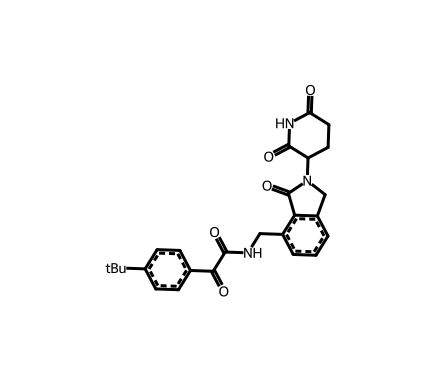 CC(C)(C)c1ccc(C(=O)C(=O)NCc2cccc3c2C(=O)N(C2CCC(=O)NC2=O)C3)cc1